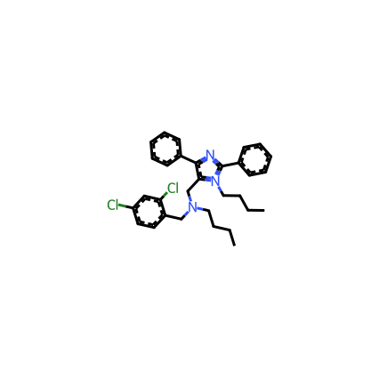 CCCCN(Cc1ccc(Cl)cc1Cl)Cc1c(-c2ccccc2)nc(-c2ccccc2)n1CCCC